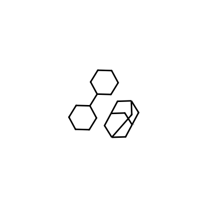 C1CCC(C2CCCCC2)CC1.C1[C]2CC3CC1CC(C2)C3